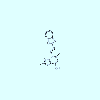 Cc1cc2c(O)cc(C)c(/N=N/c3nc4ccccc4o3)c2s1